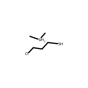 C[SiH2]C.SCCCCl